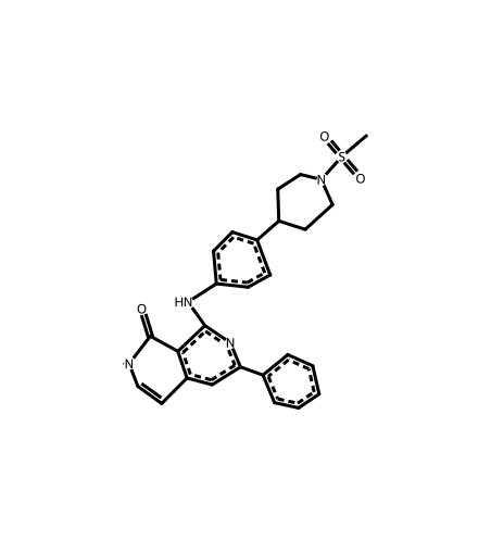 CS(=O)(=O)N1CCC(c2ccc(Nc3nc(-c4ccccc4)cc4c3C(=O)[N]C=C4)cc2)CC1